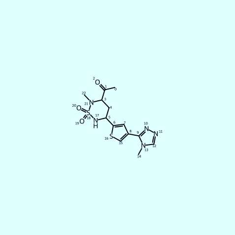 CC(=O)C1CC(c2cc(-c3nncn3C)cs2)NS(=O)(=O)N1C